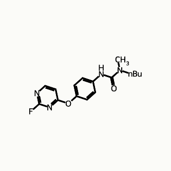 CCCCN(C)C(=O)Nc1ccc(Oc2ccnc(F)n2)cc1